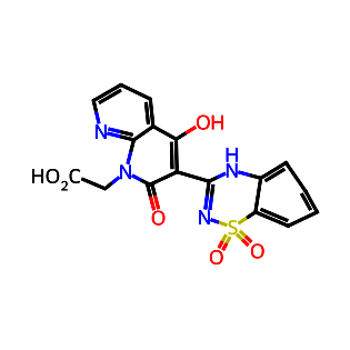 O=C(O)Cn1c(=O)c(C2=NS(=O)(=O)c3ccccc3N2)c(O)c2cccnc21